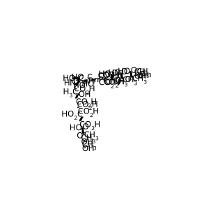 CC(=O)C(=O)O.CC(=O)C(=O)O.CC(=O)C(=O)O.CC(=O)C(=O)O.CC(C)C(O)C(=O)O.CC(O)CC(=O)O.CCCC(O)C(=O)O.CO.CO.CO.CO.O=C(O)CC(=O)O.O=C(O)CC(=O)O.O=C(O)CC(=O)O.O=C(O)CCC(=O)O.O=C(O)[C@@H]1CCCN1